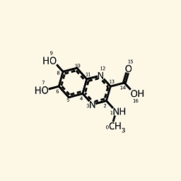 CNc1nc2cc(O)c(O)cc2nc1C(=O)O